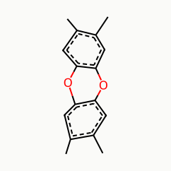 Cc1cc2c(cc1C)Oc1cc(C)c(C)cc1O2